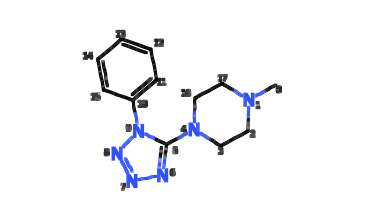 CN1CCN(c2nnnn2-c2ccccc2)CC1